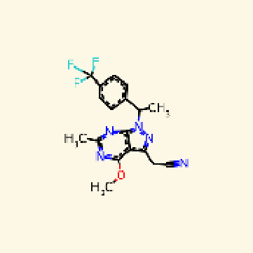 COc1nc(C)nc2c1c(CC#N)nn2C(C)c1ccc(C(F)(F)F)cc1